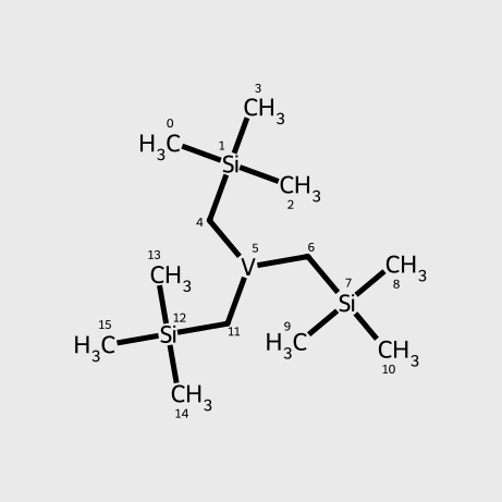 C[Si](C)(C)[CH2][V]([CH2][Si](C)(C)C)[CH2][Si](C)(C)C